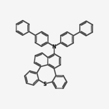 c1ccc(-c2ccc(N(c3ccc(-c4ccccc4)cc3)c3ccc4c5c(cccc35)-c3ccccc3Sc3ccccc3-4)cc2)cc1